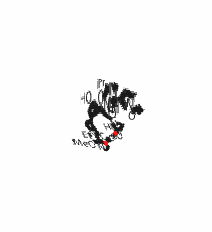 C=CC(=O)N1C[C@@H](C(=O)N(C)[C@H](C(=O)N[C@H]2Cc3cc(O)cc(c3)-c3ccc4c(c3)c(c(-c3cccnc3COC)n4CC)CC(C)(C)COC(=O)[C@@H]3CCCN(N3)C2=O)C(C)C)C[C@H]1C